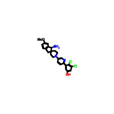 COc1ccc2c(c1)[C@@H](N)C1(CCN(c3ccc(-c4cc(O)cc(Cl)c4Cl)nc3)CC1)C2